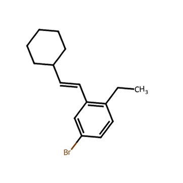 CCc1ccc(Br)cc1/C=C/C1CCCCC1